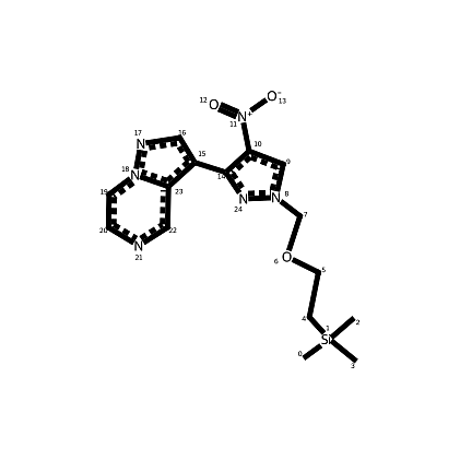 C[Si](C)(C)CCOCn1cc([N+](=O)[O-])c(-c2cnn3ccncc23)n1